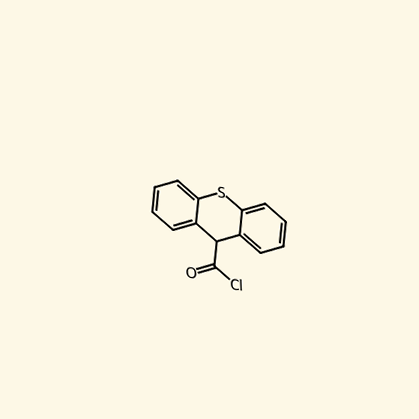 O=C(Cl)C1c2ccccc2Sc2ccccc21